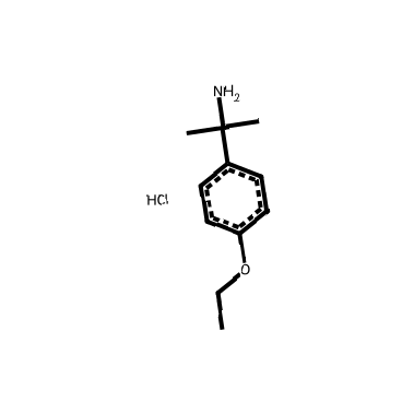 CCOc1ccc(C(C)(C)N)cc1.Cl